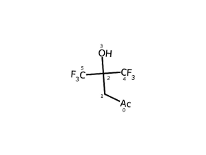 CC(=O)CC(O)(C(F)(F)F)C(F)(F)F